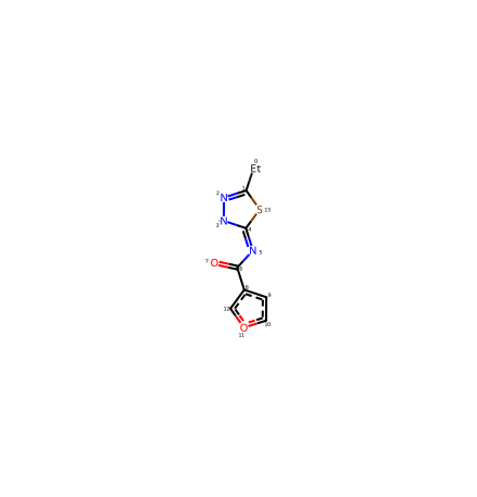 CCC1=N[N]C(=NC(=O)c2ccoc2)S1